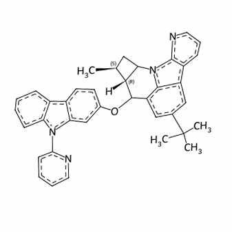 C[C@H]1CC2[C@@H]1C(Oc1ccc3c4ccccc4n(-c4ccccn4)c3c1)c1cc(C(C)(C)C)cc3c4cccnc4n2c13